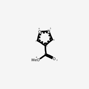 COC(=O)c1[c]noc1